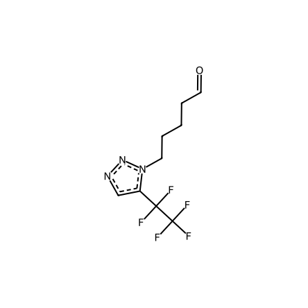 O=CCCCCn1nncc1C(F)(F)C(F)(F)F